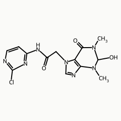 CN1C(=O)c2c(ncn2CC(=O)Nc2ccnc(Cl)n2)N(C)C1O